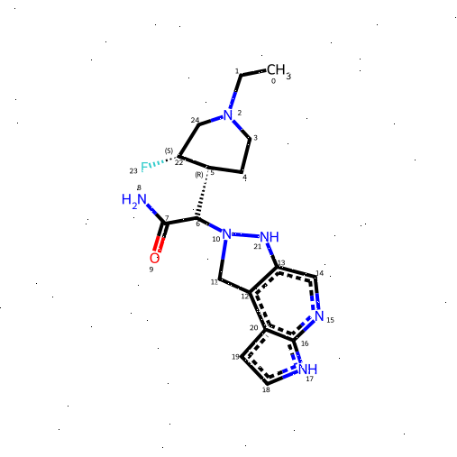 CCN1CC[C@H]([C](C(N)=O)N2Cc3c(cnc4[nH]ccc34)N2)[C@H](F)C1